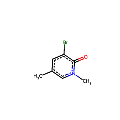 Cc1cc(Br)c(=O)n(C)c1